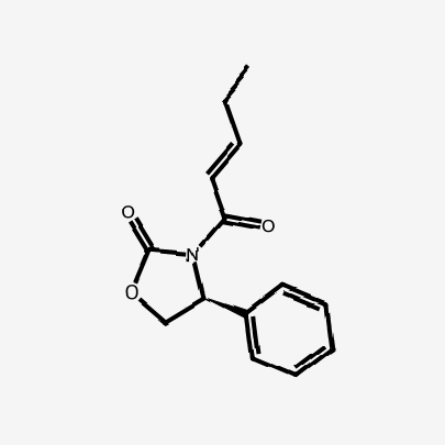 CC/C=C/C(=O)N1C(=O)OC[C@@H]1c1ccccc1